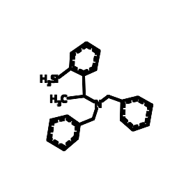 CC(c1ccccc1[SiH3])N(Cc1ccccc1)Cc1ccccc1